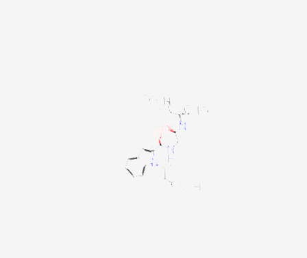 C[C@H](NC(=O)c1cc2ccccc2n1CCC(=O)O)C(=O)N[C@H](C=O)CC(=O)O